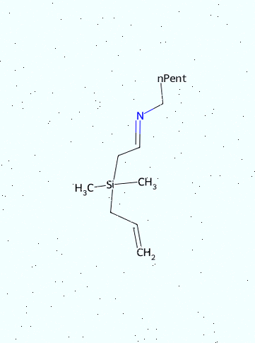 C=CC[Si](C)(C)CC=NCCCCCC